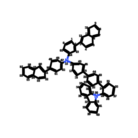 c1cc(-c2ccc3ccccc3c2)cc(N(c2ccc(-c3ccc(-c4ccccc4-n4c5ccccc5c5ccccc54)cc3)cc2)c2ccc(-c3ccc4ccccc4c3)cc2)c1